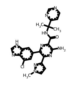 Cn1ccc(-c2nc(N)c(C(=O)NC(C)(C)c3ccncn3)nc2-c2cc(Cl)c3nc[nH]c3c2)n1